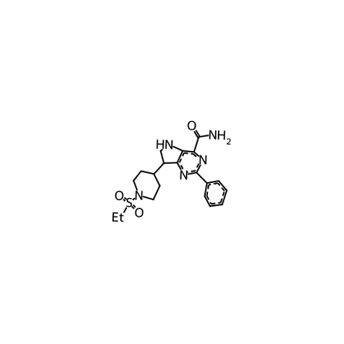 CCS(=O)(=O)N1CCC(C2CNc3c(C(N)=O)nc(-c4ccccc4)nc32)CC1